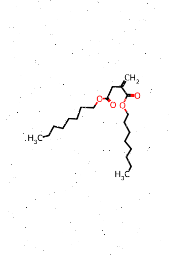 C=C(CC(=O)OCCCCCCCC)C(=O)OCCCCCCCC